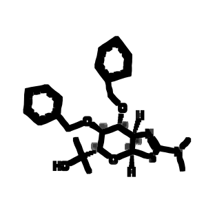 CN(C)C1=N[C@@H]2[C@@H](OCc3ccccc3)[C@H](OCc3ccccc3)[C@@H](C(C)(C)O)O[C@@H]2S1